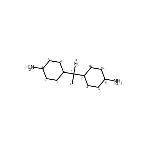 CCC(C)(C1CCC(N)CC1)C1CCC(N)CC1